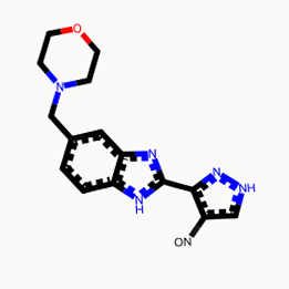 O=Nc1c[nH]nc1-c1nc2cc(CN3CCOCC3)ccc2[nH]1